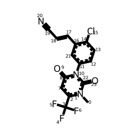 Cn1c(C(F)(F)F)cc(=O)n(-c2ccc(Cl)c(C=CC#N)c2)c1=O